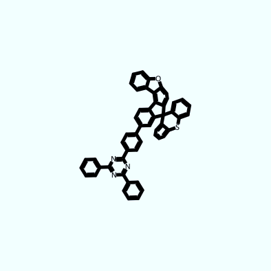 c1ccc(-c2nc(-c3ccccc3)nc(-c3ccc(-c4ccc5c(c4)C4(c6ccccc6Sc6ccccc64)c4ccc6oc7ccccc7c6c4-5)cc3)n2)cc1